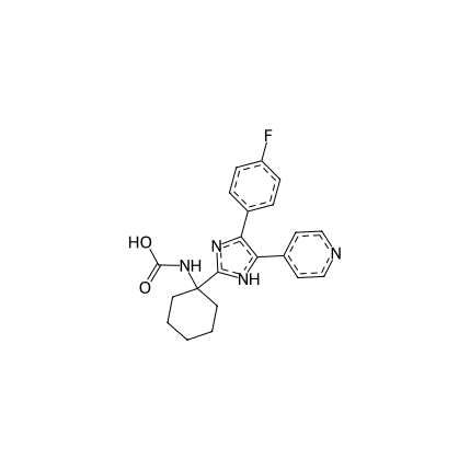 O=C(O)NC1(c2nc(-c3ccc(F)cc3)c(-c3ccncc3)[nH]2)CCCCC1